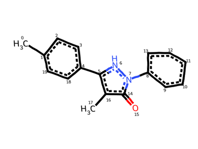 Cc1ccc(-c2[nH]n(-c3ccccc3)c(=O)c2C)cc1